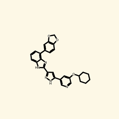 c1cc(-c2ccc3c(c2)OCO3)c2nc(-c3cc(-c4cncc(OC5CCCCC5)c4)[nH]n3)[nH]c2c1